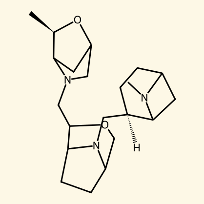 C[C@H]1OC2CC1N(CC1OCC3CCC1N3C[C@H]1CCC3CC1N3C)C2